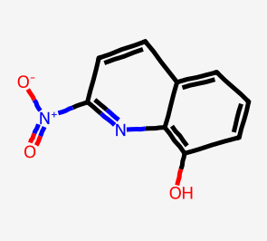 O=[N+]([O-])c1ccc2cccc(O)c2n1